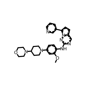 COc1cc(N2CCC(N3CCOCC3)CC2)ccc1Nc1ncc2ccc(-c3cccnc3)n2n1